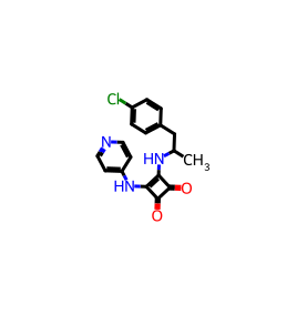 CC(Cc1ccc(Cl)cc1)Nc1c(Nc2ccncc2)c(=O)c1=O